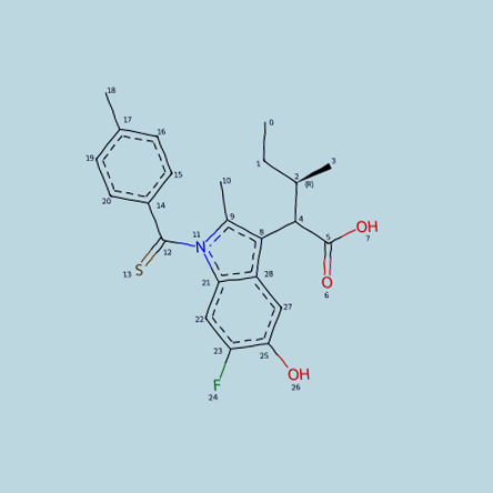 CC[C@@H](C)C(C(=O)O)c1c(C)n(C(=S)c2ccc(C)cc2)c2cc(F)c(O)cc12